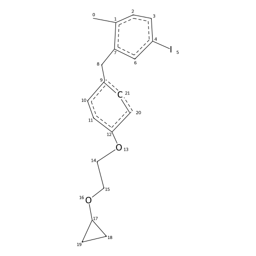 Cc1ccc(I)cc1Cc1ccc(OCCOC2CC2)cc1